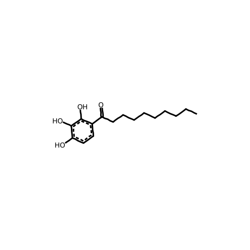 CCCCCCCCCC(=O)c1ccc(O)c(O)c1O